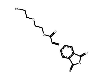 C=CC(=O)OCCOCCO.O=C1OC(=O)c2ccccc21